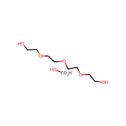 O=C(O)O.OCCOCCOCCOCCO